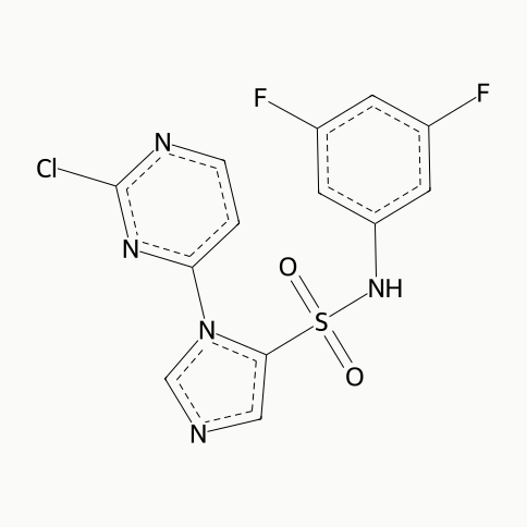 O=S(=O)(Nc1cc(F)cc(F)c1)c1cncn1-c1ccnc(Cl)n1